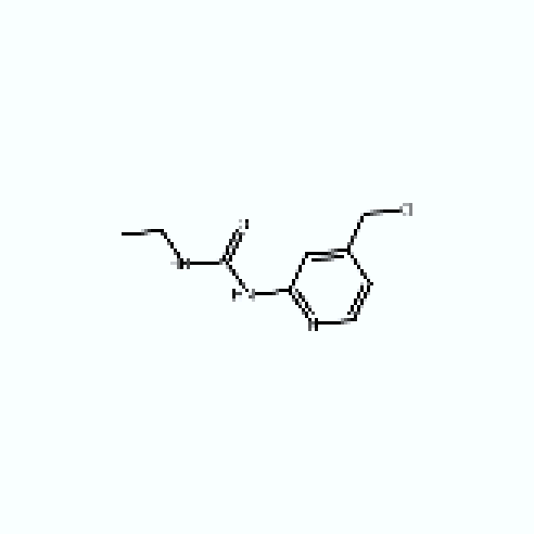 CCNC(=O)Nc1cc(CCl)ccn1